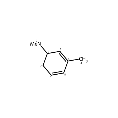 CNC1C=C(C)C=CC1